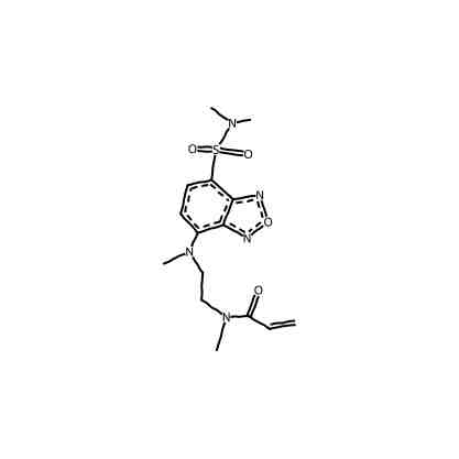 C=CC(=O)N(C)CCN(C)c1ccc(S(=O)(=O)N(C)C)c2nonc12